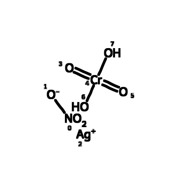 O=[N+]([O-])[O-].[Ag+].[O]=[Cr](=[O])([OH])[OH]